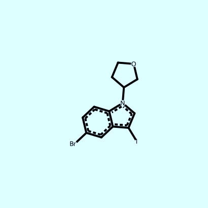 Brc1ccc2c(c1)c(I)cn2C1CCOC1